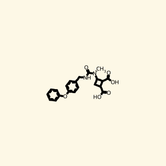 CN(C(=O)NCc1ccc(Oc2ccccc2)cc1)C1CC(C(=O)O)C1C(=O)O